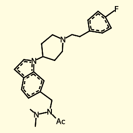 CC(=O)N(Cc1ccc2ccn(C3CCN(CCc4ccc(F)cc4)CC3)c2c1)N(C)C